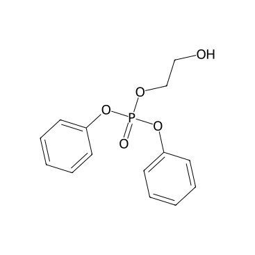 O=P(OCCO)(Oc1ccccc1)Oc1ccccc1